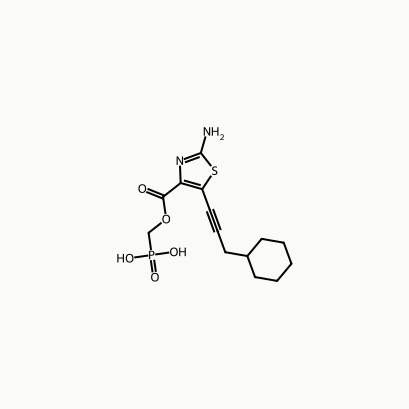 Nc1nc(C(=O)OCP(=O)(O)O)c(C#CCC2CCCCC2)s1